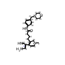 CN1C=CC(/C(C=N)=C/N)=C(CCCC(=O)Nc2ccc(CN3CCOCC3)cc2)C1